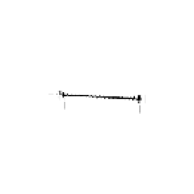 O=C(CCCCCCCCCCCCCCCCCCCCCCCCCCCCCCCCCCCCNC(=S)S)NO